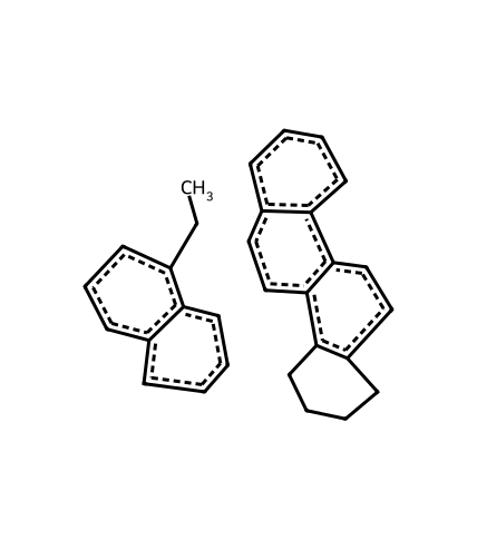 CCc1cccc2ccccc12.c1ccc2c(c1)ccc1c3c(ccc12)CCCC3